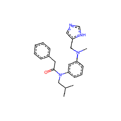 CC(C)CN(C(=O)Cc1ccccc1)c1cccc(N(C)Cc2cnc[nH]2)c1